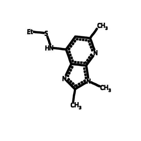 CCSNc1cc(C)nc2c1nc(C)n2C